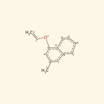 C=COc1cc(C)cc2ccccc12